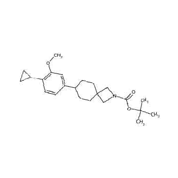 COc1cc(C2CCC3(CC2)CN(C(=O)OC(C)(C)C)C3)ccc1C1CC1